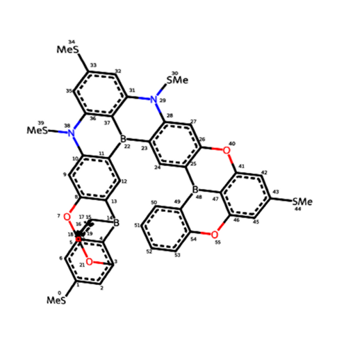 CSc1cc2c3c(c1)Oc1cc4c(cc1B3c1ccccc1O2)B1c2cc3c(cc2N(SC)c2cc(SC)cc(c21)N4SC)Oc1cc(SC)cc2c1B3c1ccccc1O2